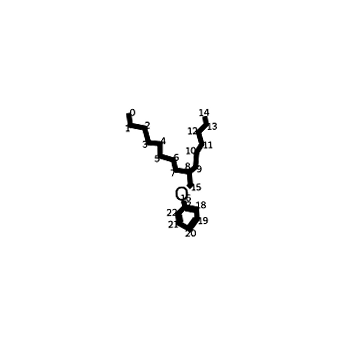 CCCCCCCCC(CCCCCC)COc1ccccc1